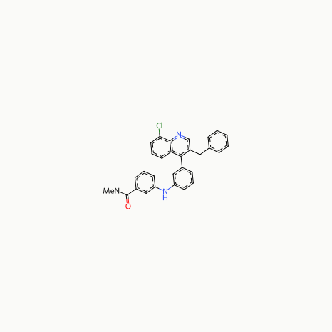 CNC(=O)c1cccc(Nc2cccc(-c3c(Cc4ccccc4)cnc4c(Cl)cccc34)c2)c1